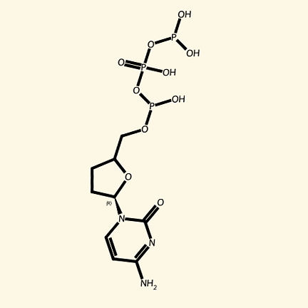 Nc1ccn([C@H]2CCC(COP(O)OP(=O)(O)OP(O)O)O2)c(=O)n1